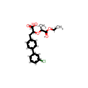 CCOC(=O)[C@H](C)OC(Cc1ccc(-c2cccc(Cl)c2)cc1)C(=O)O